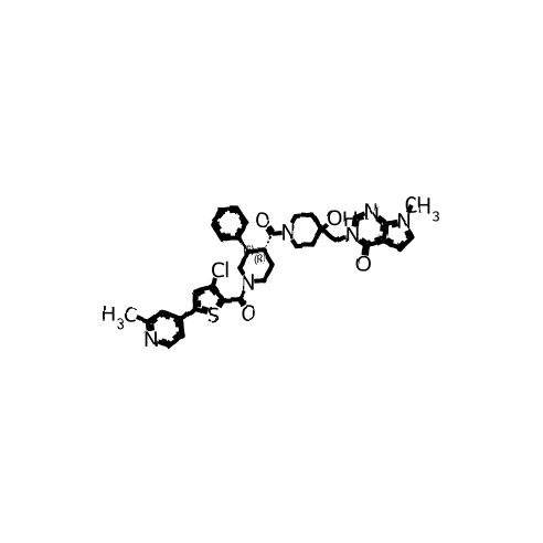 Cc1cc(-c2cc(Cl)c(C(=O)N3CC[C@@H](C(=O)N4CCC(O)(Cn5cnc6c(ccn6C)c5=O)CC4)[C@H](c4ccccc4)C3)s2)ccn1